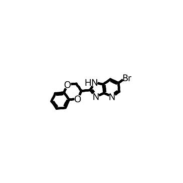 Brc1cnc2nc(C3COc4ccccc4O3)[nH]c2c1